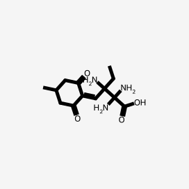 CCC(N)(C=C1C(=O)CC(C)CC1=O)C(N)(N)C(=O)O